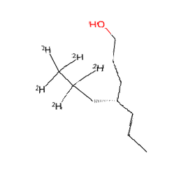 [2H]C([2H])([2H])C([2H])([2H])C[C@@H](CCC)CCCO